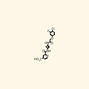 O=C(COc1ccc(Cl)c(F)c1)NC12CC(NC(=O)c3cc(C(=O)O)ccn3)(C1)C2